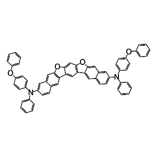 c1ccc(Oc2ccc(N(c3ccccc3)c3ccc4cc5c(cc4c3)oc3cc4oc6cc7cc(N(c8ccccc8)c8ccc(Oc9ccccc9)cc8)ccc7cc6c4cc35)cc2)cc1